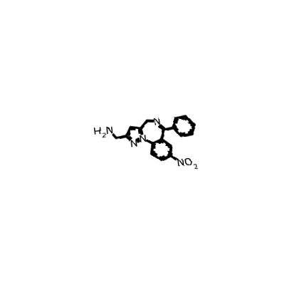 NCc1cc2n(n1)-c1ccc([N+](=O)[O-])cc1C(c1ccccc1)=NC2